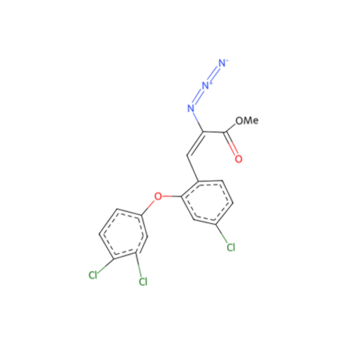 COC(=O)/C(=C\c1ccc(Cl)cc1Oc1ccc(Cl)c(Cl)c1)N=[N+]=[N-]